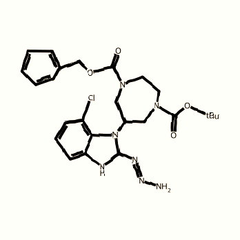 CC(C)(C)OC(=O)N1CCN(C(=O)OCc2ccccc2)CC(N2c3c(Cl)cccc3NC2N=NN)C1